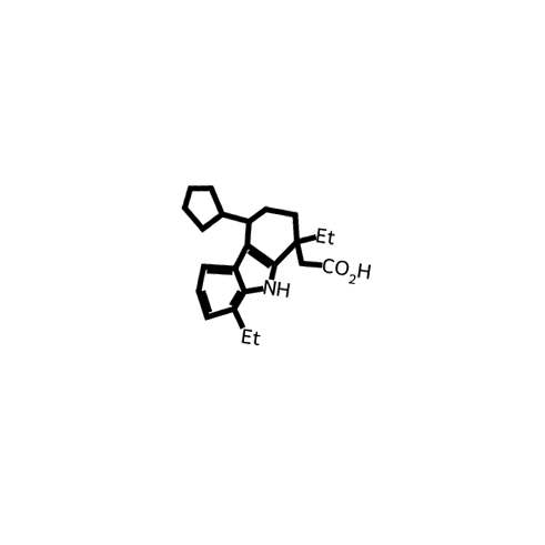 CCc1cccc2c3c([nH]c12)C(CC)(CC(=O)O)CCC3C1CCCC1